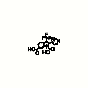 O=C(O)c1ccc2c(C(F)(F)F)c(-c3ccncn3)n(C(=O)O)c2c1